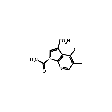 Cc1cnc2c(c(C(=O)O)cn2C(N)=O)c1Cl